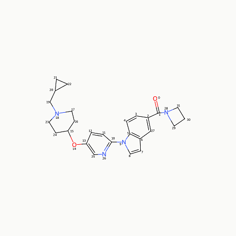 O=C(c1ccc2c(ccn2-c2ccc(OC3CCN(CC4CC4)CC3)cn2)c1)N1CCC1